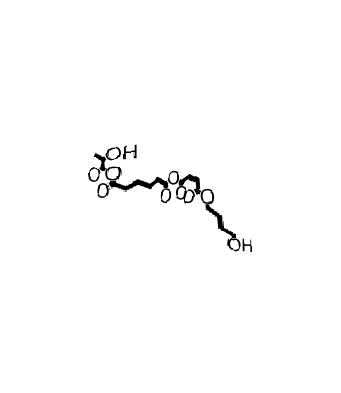 CC(O)C(=O)OC(=O)CCCCC(=O)OC(=O)/C=C\C(=O)OCCCCO